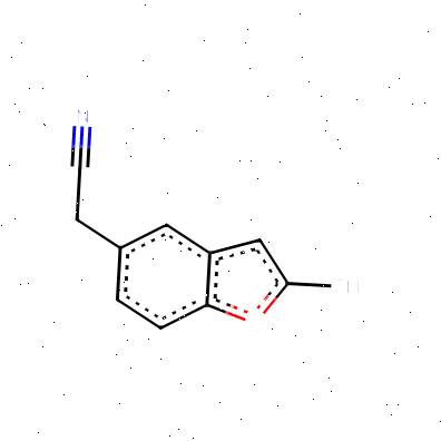 Cc1cc2cc(CC#N)ccc2o1